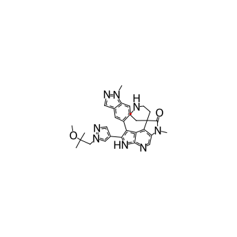 COC(C)(C)Cn1cc(-c2[nH]c3ncc4c(c3c2-c2ccc3c(cnn3C)c2)C2(CCNCC2)C(=O)N4C)cn1